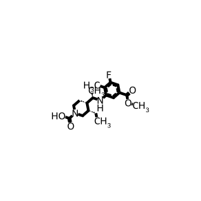 CC[C@@H]1CN(C(=O)O)CC[C@@H]1[C@H](C)Nc1cc(C(=O)OC)cc(F)c1C